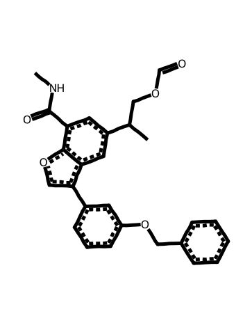 CNC(=O)c1cc(C(C)COC=O)cc2c(-c3cccc(OCc4ccccc4)c3)coc12